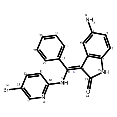 Nc1ccc2c(c1)/C(=C(/Nc1ccc(Br)cn1)c1ccccc1)C(=O)N2